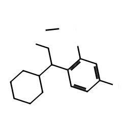 CS(=O)(=O)O.OCC(c1ccc(Cl)cc1Cl)C1CCCCC1